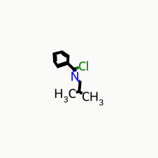 CC(C)CN=C(Cl)c1ccccc1